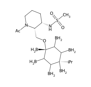 BC1C(B)[C@](B)(C(C)C)C(B)C(B)[C@]1(B)OC[C@H]1[C@@H](NS(C)(=O)=O)CCCN1C(C)=O